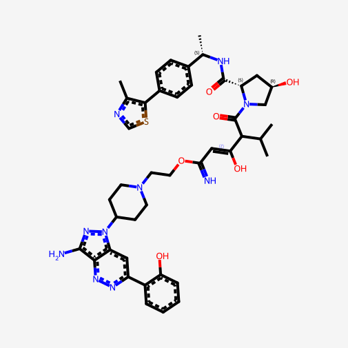 Cc1ncsc1-c1ccc([C@H](C)NC(=O)[C@@H]2C[C@@H](O)CN2C(=O)C(/C(O)=C/C(=N)OCCN2CCC(n3nc(N)c4nnc(-c5ccccc5O)cc43)CC2)C(C)C)cc1